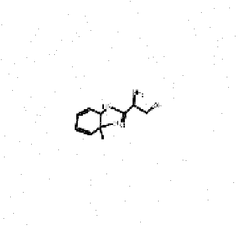 CCC1(C)C=CC=CC1NC(=O)C(N)CO